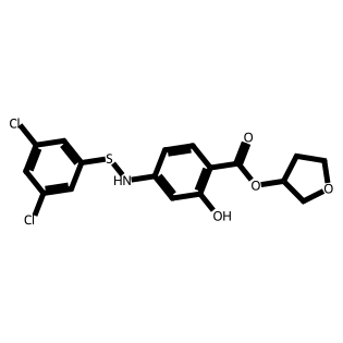 O=C(OC1CCOC1)c1ccc(NSc2cc(Cl)cc(Cl)c2)cc1O